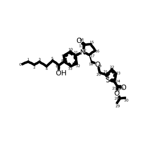 CCCCCCC(O)c1ccc(N2C(=O)CC[C@H]2COCc2ccc(C(=O)OC(C)C)s2)cc1